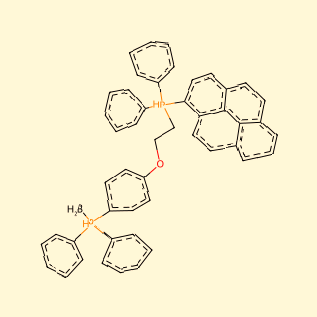 B[PH](c1ccccc1)(c1ccccc1)c1ccc(OCC[PH](c2ccccc2)(c2ccccc2)c2ccc3ccc4cccc5ccc2c3c45)cc1